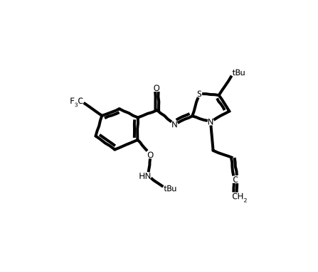 C=C=CCn1cc(C(C)(C)C)sc1=NC(=O)c1cc(C(F)(F)F)ccc1ONC(C)(C)C